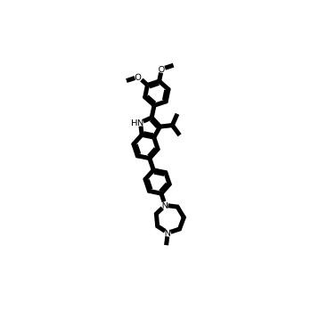 COc1ccc(-c2[nH]c3ccc(-c4ccc(N5CCCN(C)CC5)cc4)cc3c2C(C)C)cc1OC